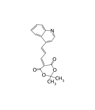 CC1(C)OC(=O)C(=CC=Cc2ccnc3ccccc23)C(=O)O1